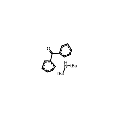 CC(C)(C)NC(C)(C)C.O=C(c1ccccc1)c1ccccc1